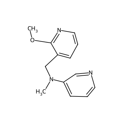 COc1ncccc1CN(C)c1cccnc1